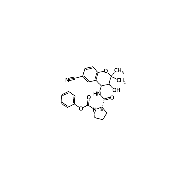 CC1(C)Oc2ccc(C#N)cc2C(NC(=O)[C@@H]2CCCN2C(=O)Oc2ccccc2)C1O